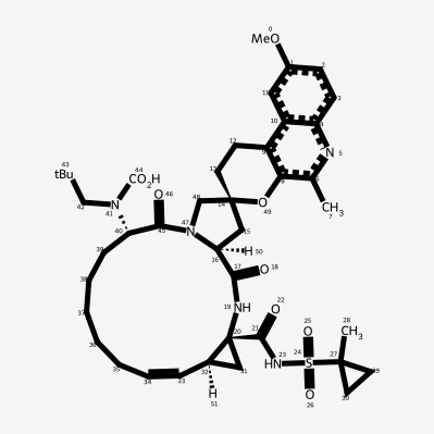 COc1ccc2nc(C)c3c(c2c1)CC[C@]1(C[C@H]2C(=O)N[C@]4(C(=O)NS(=O)(=O)C5(C)CC5)C[C@H]4/C=C\CCCCC[C@H](N(CC(C)(C)C)C(=O)O)C(=O)N2C1)O3